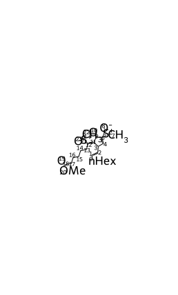 CCCCCCC=CC1C=C([S+](C)[O-])C(=O)C1=C(CCCCCC(=O)OC)[S+](C)[O-]